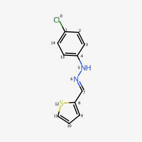 Clc1ccc(NN=Cc2cccs2)cc1